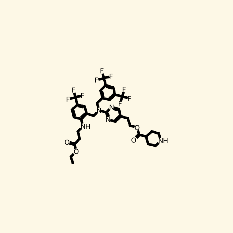 CCOC(=O)CCNc1ccc(C(F)(F)F)cc1CN(Cc1cc(C(F)(F)F)cc(C(F)(F)F)c1)c1ncc(CCOC(=O)C2CCNCC2)cn1